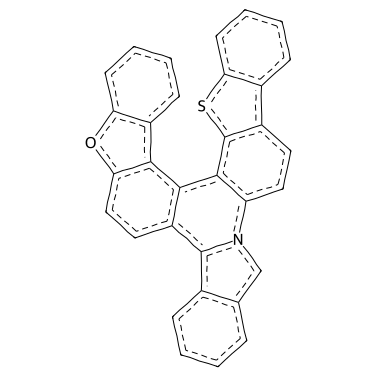 c1ccc2c(c1)cn1c3ccc4c5ccccc5sc4c3c3c(ccc4oc5ccccc5c43)c21